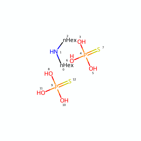 CCCCCCNCCCCCC.OP(O)(O)=S.OP(O)(O)=S